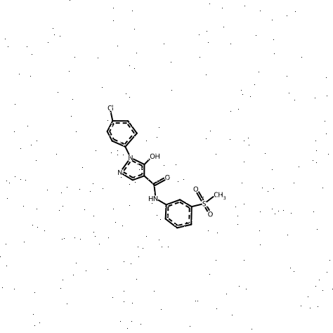 CS(=O)(=O)c1cccc(NC(=O)c2cnn(-c3ccc(Cl)cc3)c2O)c1